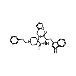 O=C1C(Cc2c[nH]c3ccccc23)NC(=O)C2(CCN(CCc3ccccc3)CC2)N1Cc1ccco1